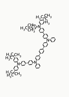 CC(C)(C)c1ccc(N(c2ccc(-c3ccc(N(c4ccccc4)c4ccc(-c5ccc(-c6ccc(N(c7ccccc7)c7ccc(-c8ccc(N(c9ccc(C(C)(C)C)cc9)c9ccc(C(C)(C)C)cc9)cc8)cc7)cc6)cc5)cc4)cc3)cc2)c2ccc(C(C)(C)C)cc2)cc1